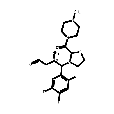 CN1CCN(C(=O)C2SCCN2C(c2cc(F)c(F)cc2F)[C@H](N)CC=O)CC1